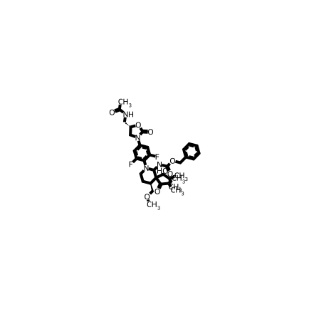 COC[C@H]1CCN(c2c(F)cc(N3C[C@H](CNC(C)=O)OC3=O)cc2F)C(NC(=O)OCc2ccccc2)C1(C(=O)C(C)C)C(=O)C(C)C